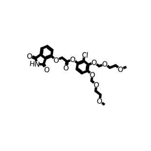 COCCOCOc1ccc(OC(=O)COc2cccc3c2C(=O)NC3=O)c(Cl)c1OCOCCOC